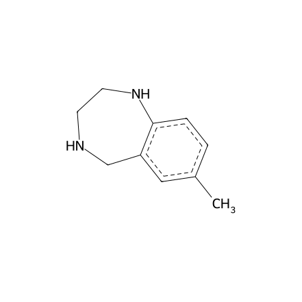 Cc1ccc2c(c1)CNCCN2